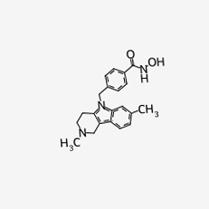 Cc1ccc2c3c(n(Cc4ccc(C(=O)NO)cc4)c2c1)CCN(C)C3